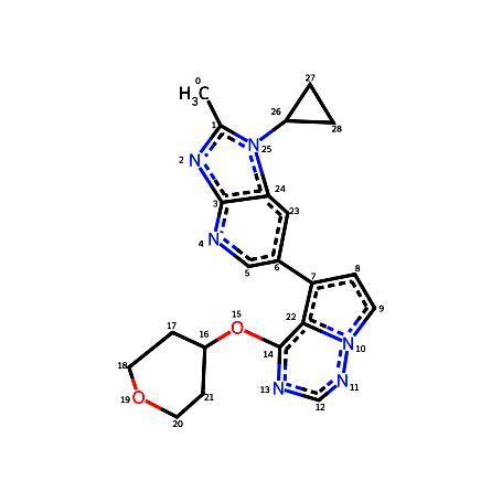 Cc1nc2ncc(-c3ccn4ncnc(OC5CCOCC5)c34)cc2n1C1CC1